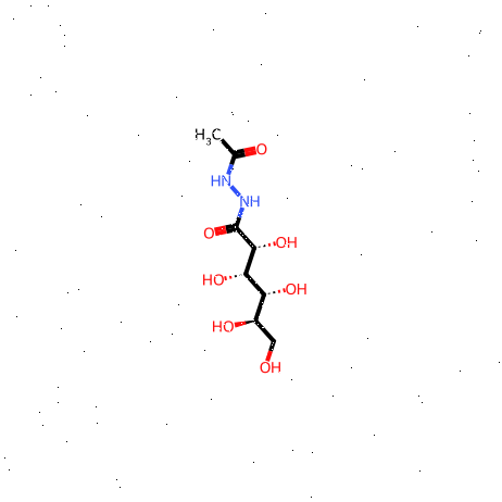 CC(=O)NNC(=O)[C@H](O)[C@@H](O)[C@H](O)[C@H](O)CO